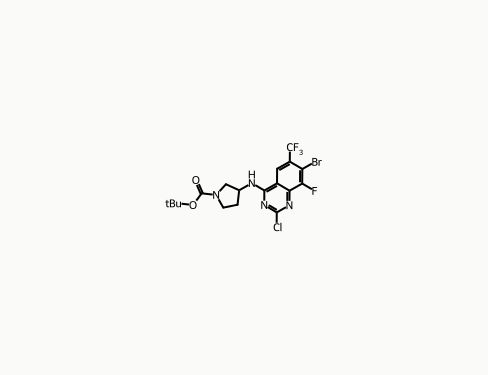 CC(C)(C)OC(=O)N1CCC(Nc2nc(Cl)nc3c(F)c(Br)c(C(F)(F)F)cc23)C1